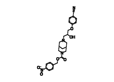 N#Cc1ccc(OCC(O)CN2CC3CC(C2)CN(C(=O)OCc2ccc([N+](=O)[O-])cc2)C3)cc1